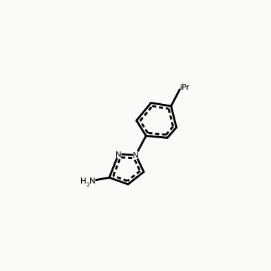 CC(C)c1ccc(-n2ccc(N)n2)cc1